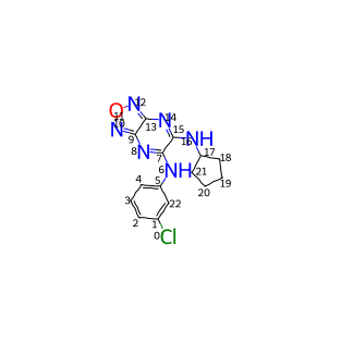 Clc1cccc(Nc2nc3nonc3nc2NC2CCCC2)c1